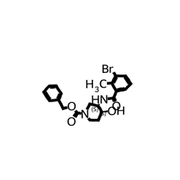 Cc1c(Br)cccc1C(=O)N[C@H]1CN(C(=O)OCc2ccccc2)CC[C@@H]1O